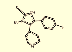 CCn1c(-c2ccncc2)c(-c2ccc(F)cc2)[nH]c1=S